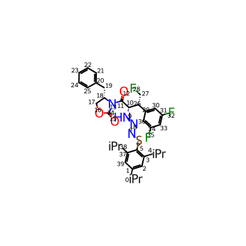 CC(C)c1cc(C(C)C)c(S/N=N/N[C@H](C(=O)N2C(=O)OC[C@@H]2Cc2ccccc2)[C@H](CF)c2cc(F)cc(F)c2)c(C(C)C)c1